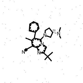 Cc1c(-c2ccccc2)c(N2CC[C@H](N(C)C)C2)n2cc(C(C)(C)C)nc2c1C#N